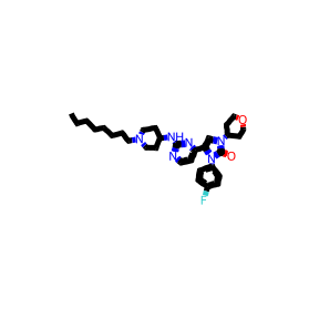 CCCCCCCCN1CCC(Nc2nccc(-c3cn(C4CCOCC4)c(=O)n3-c3ccc(F)cc3)n2)CC1